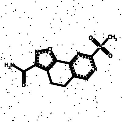 CS(=O)(=O)c1ncc2c(n1)-c1onc(C(N)=O)c1CC2